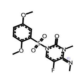 C/N=c1\c(F)cn(S(=O)(=O)c2cc(OC)ccc2OC)c(=O)n1C